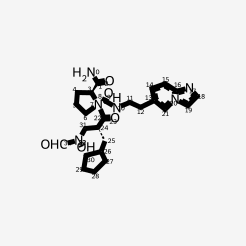 NC(=O)[C@@H]1CCC[N+]1(C(=O)NCCc1ccc2nccn2c1)C(=O)[C@H](CC1CCCC1)CN(O)C=O